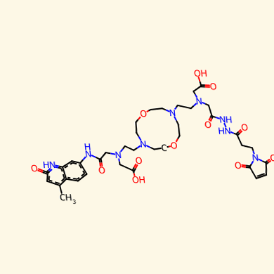 Cc1cc(=O)[nH]c2cc(NC(=O)CN(CCN3CCOCCN(CCN(CC(=O)O)CC(=O)NNC(=O)CCN4C(=O)C=CC4=O)CCOCC3)CC(=O)O)ccc12